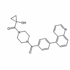 O=C(c1ccc(-c2cccc3ncccc23)cc1)N1CCN(C(=O)C2(O)CC2)CC1